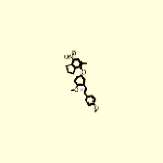 COc1ccc(/C=C/c2cc(Oc3c(C)cc([N+](=O)[O-])c4c3CCC4)ccc2OC)cc1